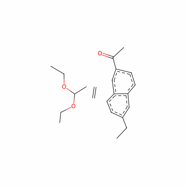 C=C.CCOC(C)OCC.CCc1ccc2cc(C(C)=O)ccc2c1